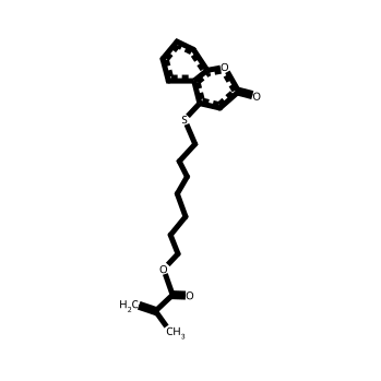 C=C(C)C(=O)OCCCCCCCSc1cc(=O)oc2ccccc12